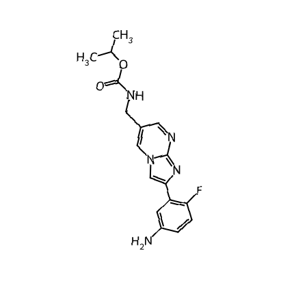 CC(C)OC(=O)NCc1cnc2nc(-c3cc(N)ccc3F)cn2c1